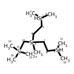 C[SiH](C)CC[Si](C)(CC[SiH](C)C)C[Si](C)(C)C